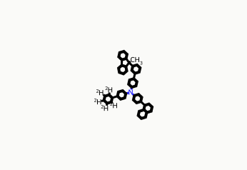 [2H]c1c([2H])c([2H])c(-c2ccc(N(c3ccc(-c4cccc(C5(C)c6ccccc6-c6ccccc65)c4)cc3)c3ccc(-c4cccc5ccccc45)cc3)cc2)c([2H])c1[2H]